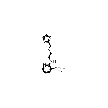 O=C(O)c1cccnc1NCCSCc1nccs1